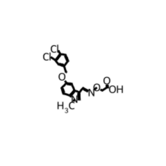 Cn1cc(C=NOCC(=O)O)c2cc(OCc3ccc(Cl)c(Cl)c3)ccc21